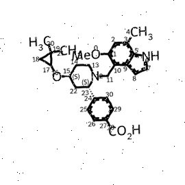 COc1cc(C)c2[nH]ccc2c1CN1CC[C@H](OC2CC2(C)C)C[C@H]1c1ccc(C(=O)O)cc1